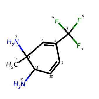 CC1(N)C=C(C(F)(F)F)C=CC1N